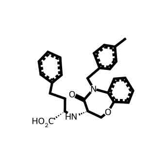 Cc1ccc(CN2C(=O)[C@@H](N[C@@H](CCc3ccccc3)C(=O)O)COc3ccccc32)cc1